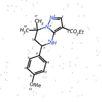 CCOC(=O)c1cnn2c1NC(c1ccc(OC)cc1)CC2(C)C